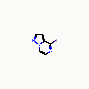 Ic1nccn2nccc12